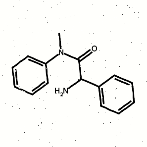 CN(C(=O)C(N)c1ccccc1)c1ccccc1